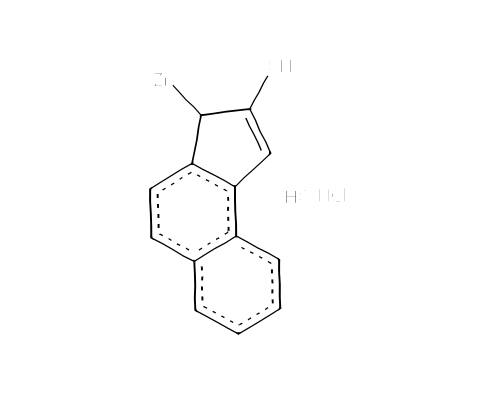 CC1=Cc2c(ccc3ccccc23)[CH]1[Zr].Cl.Cl